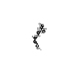 CCc1nc2c(cnn2CC)c(NC2CCOCC2)c1CNC(=O)c1cccc(C(=O)NCc2cc(F)cc(-c3cccc(CN4CCN(C)CC4)c3)c2)c1